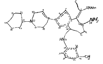 CN/C(C)=C1/c2ccc(C3=CCN(C4CCCCC4)CC3)cc2C(Nc2cccc(C#N)c2)CCN1N